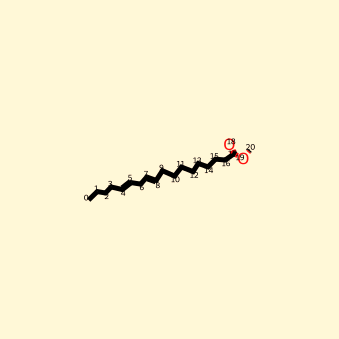 CCCCC=CCC=CCCCCCCCCC(=O)OC